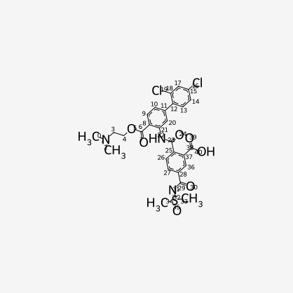 CN(C)CCOC(=O)c1ccc(-c2ccc(Cl)cc2Cl)cc1NC(=O)c1ccc(C(=O)N=S(C)(C)=O)cc1C(=O)O